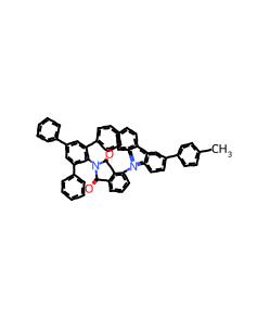 Cc1ccc(-c2ccc3c(c2)c2ccccc2n3-c2cccc3c2C(=O)N(c2c(-c4ccccc4)cc(-c4ccccc4)cc2-c2ccccc2)C3=O)cc1